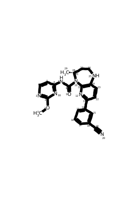 COc1nccc(NC(=O)N2c3nc(-c4cccc(C#N)c4)ccc3NCC[C@H]2C)n1